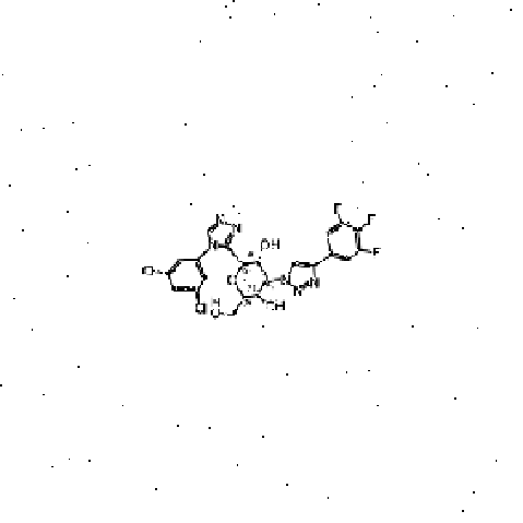 OC[C@H]1O[C@@H](c2nncn2-c2cc(Cl)cc(Cl)c2)[C@H](O)[C@@H](n2cc(-c3cc(F)c(F)c(F)c3)nn2)[C@H]1O